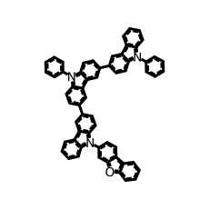 c1ccc(-n2c3ccccc3c3cc(-c4ccc5c(c4)c4cc(-c6ccc7c(c6)c6ccccc6n7-c6ccc7c(c6)oc6ccccc67)ccc4n5-c4ccccc4)ccc32)cc1